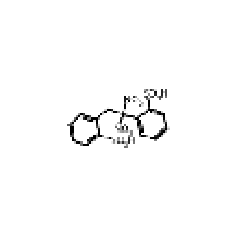 O=[N+]([O-])C(Cc1ccccc1S(=O)(=O)O)(c1ccccc1S(=O)(=O)O)[N+](=O)[O-]